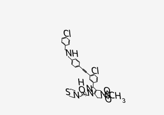 CS(=O)(=O)N1CCc2c(c(-c3ccc(Cl)c(C#Cc4ccc(CNCc5ccc(Cl)cc5)cc4)c3)nn2C[C@@H](O)CN2CCSCC2)C1